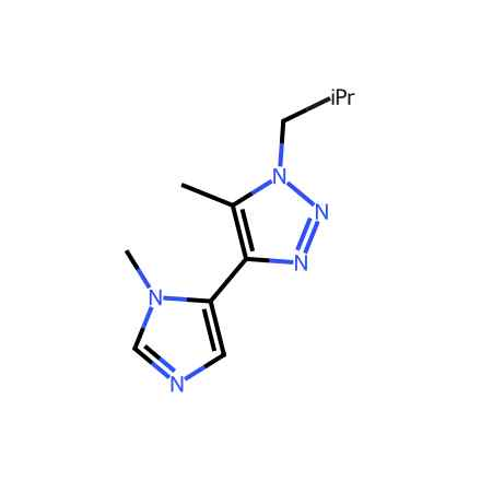 Cc1c(-c2cncn2C)nnn1CC(C)C